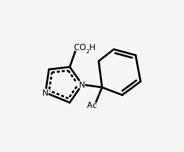 CC(=O)C1(n2cncc2C(=O)O)C=CC=CC1